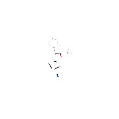 CC(C)(C)OC(=O)[C@H](Cc1ccc(C#N)cc1)C1CCCCC1